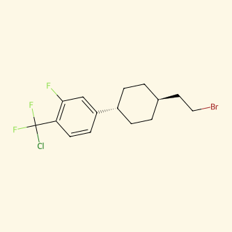 Fc1cc([C@H]2CC[C@H](CCBr)CC2)ccc1C(F)(F)Cl